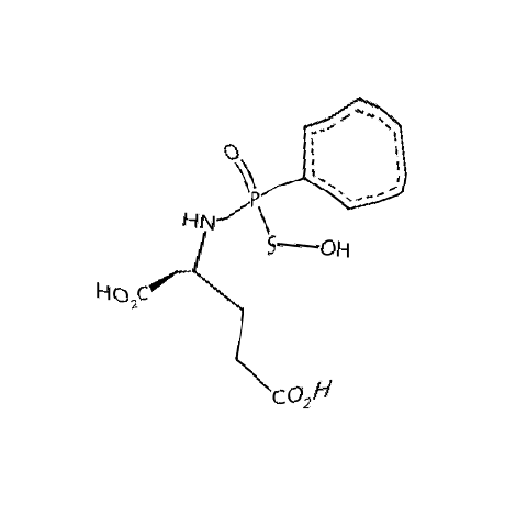 O=C(O)CC[C@H](NP(=O)(SO)c1ccccc1)C(=O)O